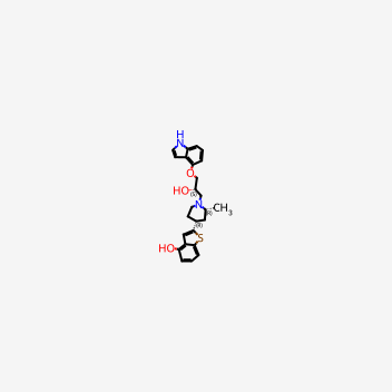 C[C@@H]1C[C@H](c2cc3c(O)cccc3s2)CCN1C[C@H](O)COc1cccc2[nH]ccc12